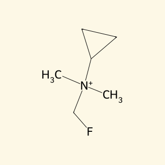 C[N+](C)(CF)C1CC1